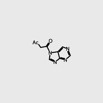 CC(=O)CC(=O)n1cnc2ncncc21